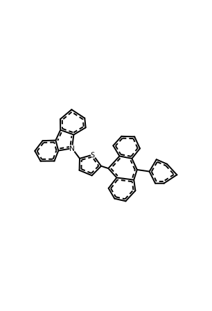 c1ccc(-c2c3ccccc3c(-c3ccc(-n4c5ccccc5c5ccccc54)s3)c3ccccc23)cc1